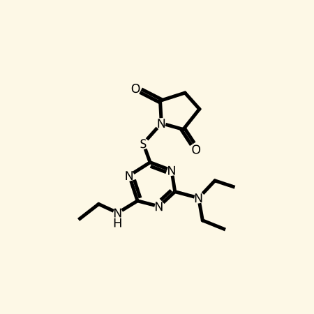 CCNc1nc(SN2C(=O)CCC2=O)nc(N(CC)CC)n1